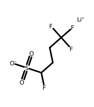 O=S(=O)([O-])C(F)CCC(F)(F)F.[Li+]